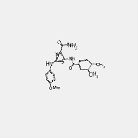 COc1ccc(Nc2nc(C(N)=O)c(NC(=O)C3=CC(C)C(C)C=C3)s2)cc1